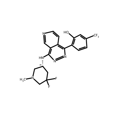 CN1C[C@H](Nc2nnc(-c3ccc(C(F)(F)F)cc3O)c3ccncc23)CC(F)(F)C1